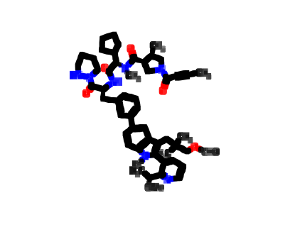 CC#CC(=O)N1C[C@H](C)[C@H](C(=O)N(C)[C@H](C(=O)N[C@@H](Cc2cccc(-c3ccc4c(c3)c(CC(C)(C)COC=O)c(-c3cccnc3[C@H](C)OC)n4CC)c2)C(=O)N2CCCCN2)C2CCCC2)C1